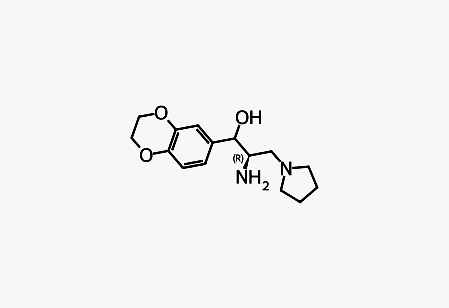 N[C@H](CN1CCCC1)C(O)c1ccc2c(c1)OCCO2